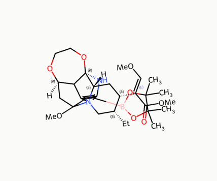 CC[C@@H]1CN2CC[C@H]3OCCO[C@@]4(Nc5c(B6OC(C)(C)C(C)(C)O6)ccc(OC)c5C34)[C@@H]2C[C@@H]1/C(=C\OC)C(=O)OC